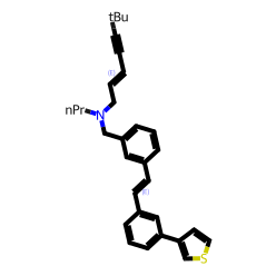 CCCN(C/C=C/C#CC(C)(C)C)Cc1cccc(/C=C/c2cccc(-c3ccsc3)c2)c1